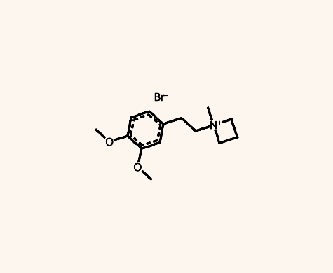 COc1ccc(CC[N+]2(C)CCC2)cc1OC.[Br-]